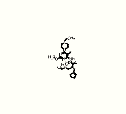 CCN1CCN(c2nc(OC)nc(NNC(=O)[C@@H](CC3CCCC3)CN(O)C=O)c2F)CC1